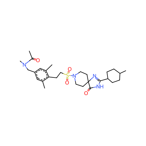 CC(=O)N(C)Cc1cc(C)c(CCS(=O)(=O)N2CCC3(CC2)N=C(C2CCC(C)CC2)NC3=O)c(C)c1